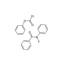 CCC(=O)Oc1ccccc1.O=C(c1ccccc1)N(F)c1cc[c]cc1